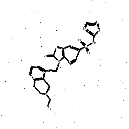 O=c1oc2cc(S(=O)(=O)Nc3ncns3)ccc2n1Cc1cccc2c1CN(CC(F)(F)F)CC2